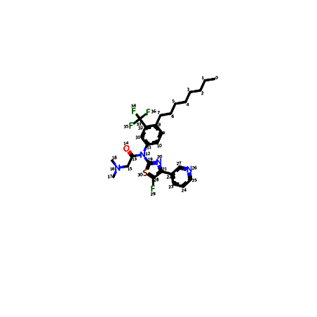 CCCCCCCCc1ccc(N(C(=O)CN(C)C)c2nc(-c3cccnc3)c(F)s2)cc1C(F)(F)F